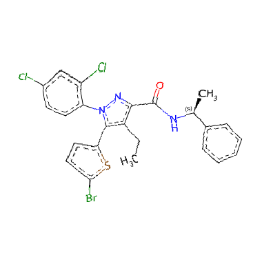 CCc1c(C(=O)N[C@@H](C)c2ccccc2)nn(-c2ccc(Cl)cc2Cl)c1-c1ccc(Br)s1